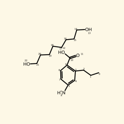 CCCc1cc(N)ccc1C(=O)O.OCCCCCCCCO